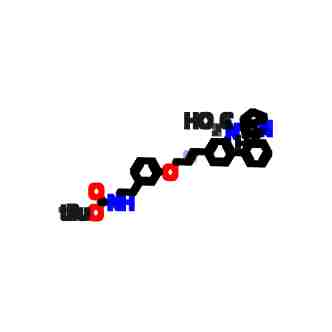 CC(C)(C)OC(=O)NCCc1cccc(OC/C=C/c2ccc(-c3ccccc3)c(N(C(=O)O)[C@H]3CN4CCC3CC4)c2)c1